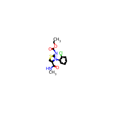 CCOC(=O)/N=c1\scc(C(=O)NC)n1-c1ccccc1Cl